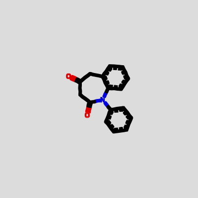 O=C1CC(=O)N(c2ccccc2)c2ccccc2C1